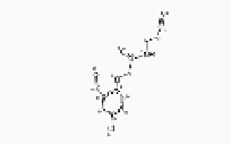 N#CCCNC(=O)COc1ccc(Cl)cc1C=O